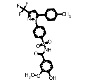 COc1cc(C(=O)NS(=O)(=O)c2ccc(-n3nc(C(F)(F)F)cc3-c3ccc(C)cc3)cc2)ccc1O